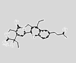 CCc1c2c(nc3ccc(CCC(C)=O)cc13)-c1cc3c(c(=O)n1C2)COC(=O)C3(O)CC